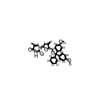 C=C1C[C@H](n2cc(C)c(=O)[nH]c2=O)O[C@@H]1COC(c1ccccc1)(c1ccc(OC)cc1)c1ccc(OC)cc1